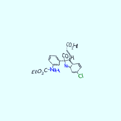 CCOC(=O)Nc1cccc(C2(C(=O)O)N=c3cc(Cl)ccc3=C2C=CC(=O)O)c1